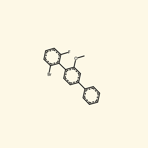 COc1cc(-c2ccccc2)ccc1-c1c(F)cccc1Br